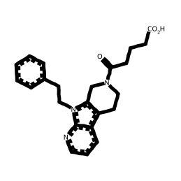 O=C(O)CCCC(=O)N1CCc2c(n(CCc3ccccc3)c3ncccc23)C1